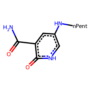 CCCCCNc1c[nH]c(=O)c(C(N)=O)c1